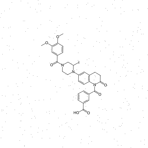 COc1ccc(C(=O)N2CCN(c3ccc4c(c3)CCC(=O)N4C(=O)c3cccc(C(=O)O)c3)C(I)C2)cc1OC